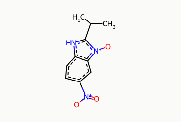 CC(C)c1[nH]c2ccc([N+](=O)[O-])cc2[n+]1[O-]